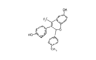 Cc1ccc(C2Oc3ccc(O)cc3C(C(F)(F)F)=C2c2ccc(O)cc2)cc1